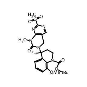 [2H]C1(N2Cc3cnc(S(C)(=O)=O)nc3N(C)C2=O)CCN(C(=O)OC(C)(C)C)c2c(OC)cccc21